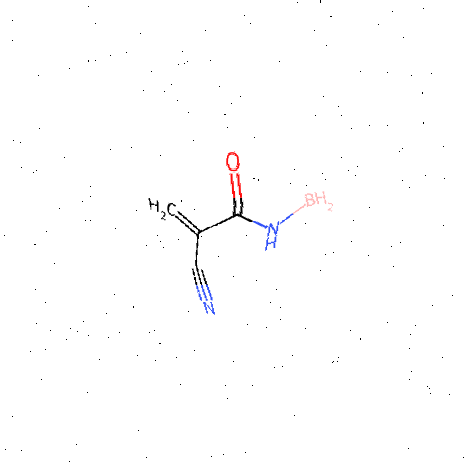 BNC(=O)C(=C)C#N